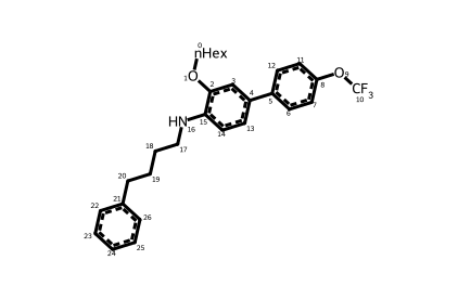 CCCCCCOc1cc(-c2ccc(OC(F)(F)F)cc2)ccc1NCCCCc1ccccc1